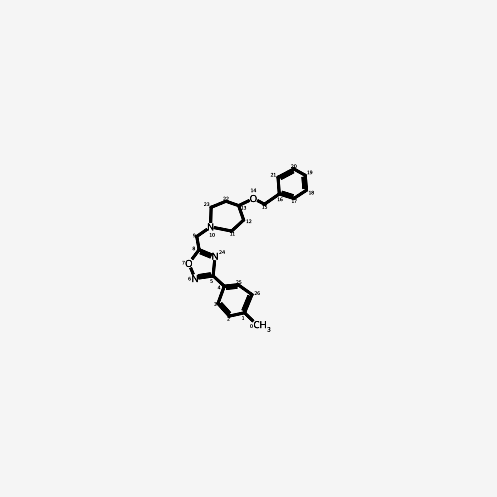 Cc1ccc(-c2noc(CN3CCC(OCc4ccccc4)CC3)n2)cc1